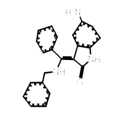 Nc1ccc2c(c1)/C(=C(/NCc1ccccc1)c1ccccc1)C(=O)N2